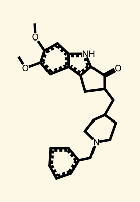 COc1cc2[nH]c3c(c2cc1OC)CC(CC1CCN(Cc2ccccc2)CC1)C3=O